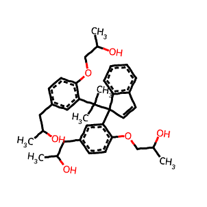 CC(O)COc1ccc(CC(C)O)cc1C(C)(C)C1(c2cc(CC(C)O)ccc2OCC(C)O)C=Cc2ccccc21